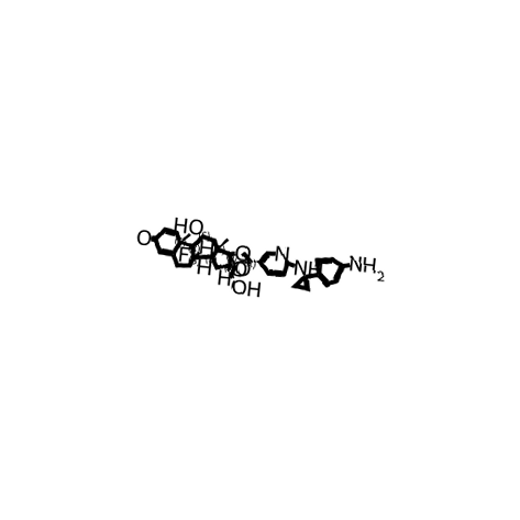 C[C@]12C=CC(=O)C=C1CC[C@H]1[C@@H]3C[C@H]4O[C@@H](c5ccc(NC6(c7ccc(N)cc7)CC6)nc5)O[C@@]4(C(=O)CO)[C@@]3(C)C[C@H](O)[C@@]12F